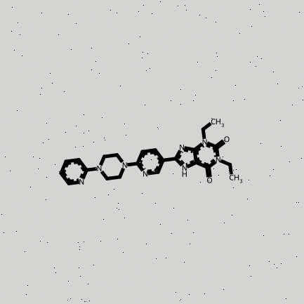 CCn1c(=O)c2[nH]c(-c3ccc(N4CCN(c5ccccn5)CC4)nc3)nc2n(CC)c1=O